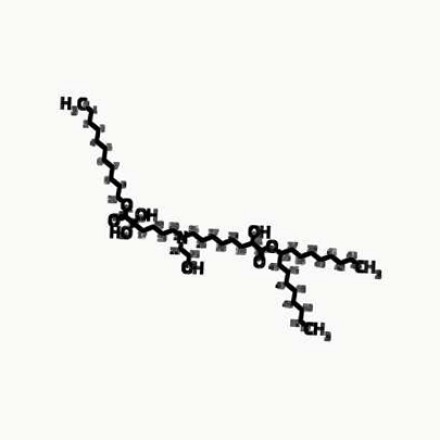 CCCCCCCCCCCOC(=O)C(O)(O)CCCCN(CCO)CCCCCCC(O)C(=O)OC(CCCCCCCC)CCCCCCCC